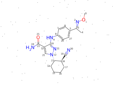 CO/N=C(\C)c1ccc(Nc2nn([C@H]3CCCC[C@@H]3C#N)cc2C(N)=O)cc1